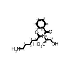 NCCCCCC(=O)N(C(=O)c1ccccc1)[C@@H](CO)C(=O)O